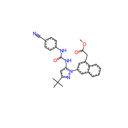 COC(=O)Cc1cc(-n2nc(C(C)(C)C)cc2NC(=O)Nc2ccc(C#N)cc2)cc2ccccc12